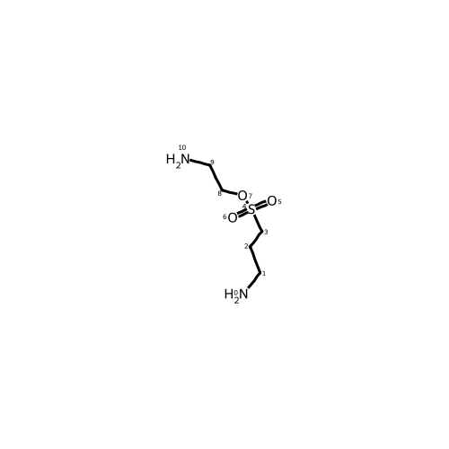 NCCCS(=O)(=O)OCCN